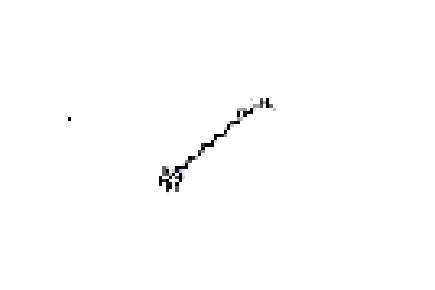 CCOCCCCCCCC/C=C/S(F)(F)(F)(F)F